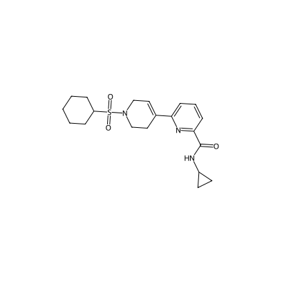 O=C(NC1CC1)c1cccc(C2=CCN(S(=O)(=O)C3CCCCC3)CC2)n1